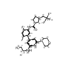 Cc1cc(F)c(NC(=O)N2CC[C@@H](CC(F)(F)F)C2)cc1-c1cc(N[C@H](C)CO)nc(N2CCOCC2)c1